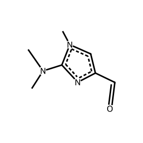 CN(C)c1nc(C=O)cn1C